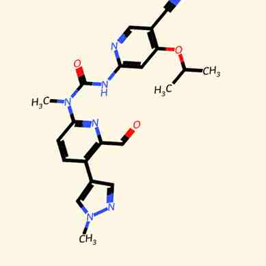 CC(C)Oc1cc(NC(=O)N(C)c2ccc(-c3cnn(C)c3)c(C=O)n2)ncc1C#N